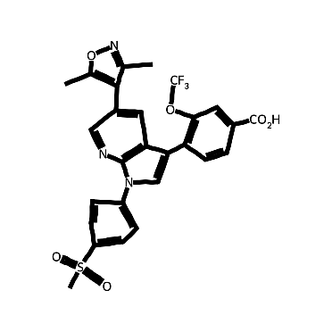 Cc1noc(C)c1-c1cnc2c(c1)c(-c1ccc(C(=O)O)cc1OC(F)(F)F)cn2-c1ccc(S(C)(=O)=O)cc1